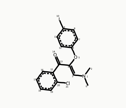 CN(C)/C=C(\Oc1ccc(I)cc1)C(=O)c1ccccc1Cl